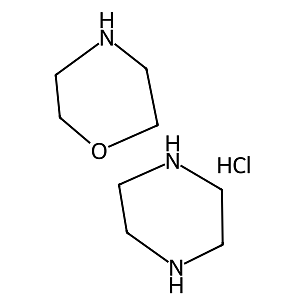 C1CNCCN1.C1COCCN1.Cl